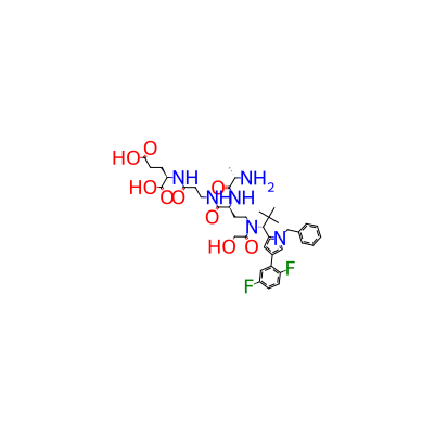 C[C@H](N)C(=O)N[C@@H](CCN(C(=O)CO)[C@@H](c1cc(-c2cc(F)ccc2F)cn1Cc1ccccc1)C(C)(C)C)C(=O)NCCC(=O)N[C@H](CCC(=O)O)C(=O)O